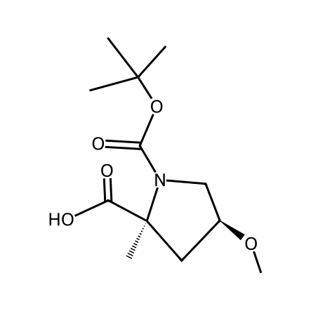 CO[C@@H]1CN(C(=O)OC(C)(C)C)[C@](C)(C(=O)O)C1